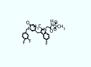 Cc1c(Cc2ccc(=O)n(Cc3ccc(F)c(F)c3)c2)c2cc(F)ccc2n1CC(=O)NS(C)(=O)=O